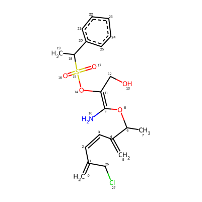 C=C(/C=C\C(=C)C(C)O/C(N)=C(\CO)OS(=O)(=O)C(C)c1ccccc1)CCl